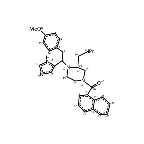 COc1ccc(CC(c2cnc[nH]2)N2CCN(C(=O)c3cccc4ccccc34)C[C@@H]2CC(C)C)cc1